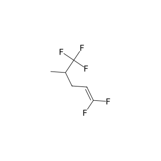 CC(CC=C(F)F)C(F)(F)F